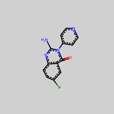 Nc1nc2ccc(Br)cc2c(=O)n1-c1ccncc1